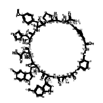 COc1ccc(C[C@@H]2NC(=O)[C@H](Cc3cnc[nH]3)NC(=O)[C@H](CC(=O)O)NC(=O)[C@H](Cc3c[nH]c4ccc(F)cc34)NC(=O)[C@H](Cc3c[nH]c4ccc(F)cc34)NC(=O)[C@@H](C)NC(=O)Cc3cccc(c3)CNC(=O)c3ccc(cc3)C[C@@H](C(N)=O)NC(=O)[C@]3(C)CCCN3C2=O)cc1